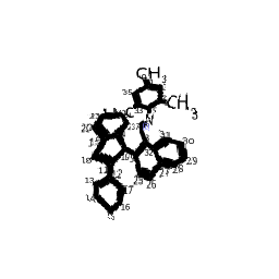 Cc1cc(C)c(/N=C/c2c(C3C(c4ccccc4)=Cc4ccccc43)ccc3ccccc23)c(C)c1